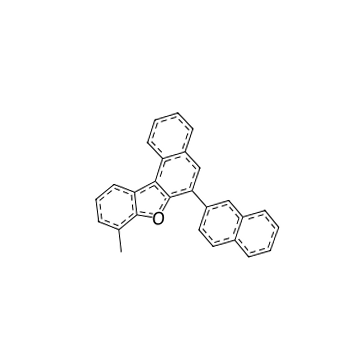 Cc1cccc2c1oc1c(-c3ccc4ccccc4c3)cc3ccccc3c12